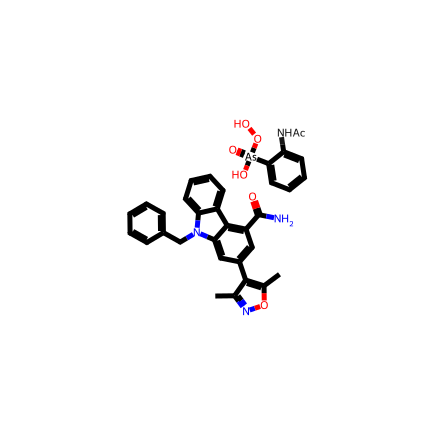 CC(=O)Nc1ccccc1[As](=O)(O)OO.Cc1noc(C)c1-c1cc(C(N)=O)c2c3ccccc3n(Cc3ccccc3)c2c1